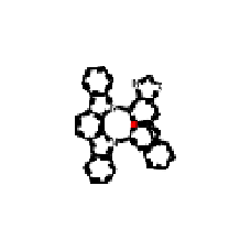 c1ccc(-c2cc(-n3c4ccccc4c4ccc5c6ccccc6n(-c6ccccc6)c5c43)c3ncsc3c2)cc1